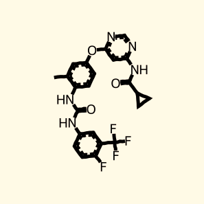 Cc1cc(Oc2cc(NC(=O)C3CC3)ncn2)ccc1NC(=O)Nc1ccc(F)c(C(F)(F)F)c1